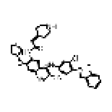 N#Cc1cnc2cc(OC3CCOC3)c(NC(=O)C=C3CCNCC3)cc2c1Nc1ccc(OCc2ccccc2F)c(Cl)c1